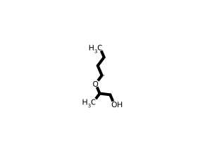 CCC[CH]OC(C)CO